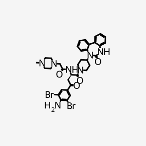 CN1CCN(CC(=O)N[C@H](CC(=O)c2cc(Br)c(N)c(Br)c2)C(=O)N2CCC(N3C(=O)Nc4ccccc4-c4ccccc43)CC2)CC1